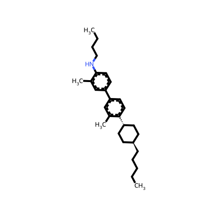 CCCCC[C@H]1CC[C@H](c2ccc(-c3ccc(NCCCC)c(C)c3)cc2C)CC1